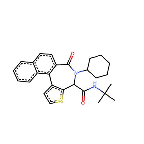 CC(C)(C)NC(=O)C1c2sccc2-c2c(ccc3ccccc23)C(=O)N1C1CCCCC1